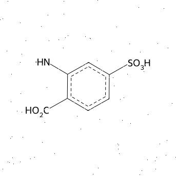 [NH]c1cc(S(=O)(=O)O)ccc1C(=O)O